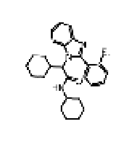 CCc1ccccc1-c1nc2ccccc2n1C(C(=O)NC1CCCCC1)C1CCCCC1